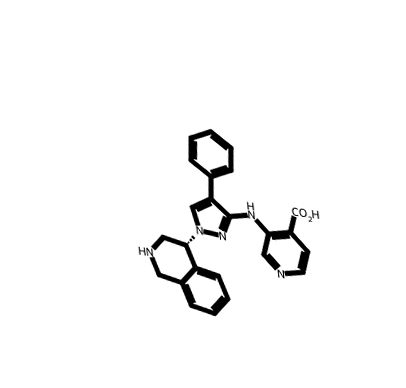 O=C(O)c1ccncc1Nc1nn([C@H]2CNCc3ccccc32)cc1-c1ccccc1